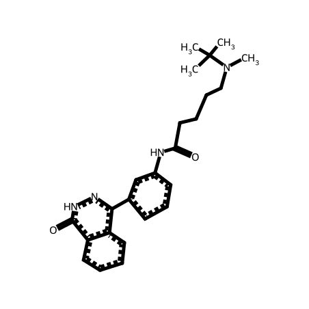 CN(CCCCC(=O)Nc1cccc(-c2n[nH]c(=O)c3ccccc23)c1)C(C)(C)C